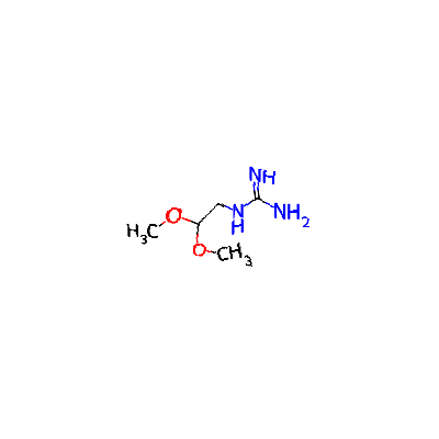 COC(CNC(=N)N)OC